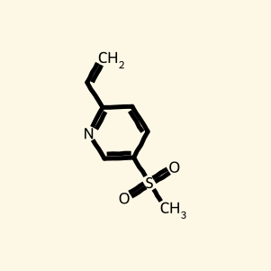 C=Cc1ccc(S(C)(=O)=O)cn1